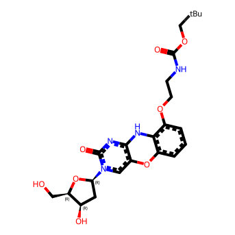 CC(C)(C)COC(=O)NCCOc1cccc2c1Nc1nc(=O)n([C@H]3C[C@@H](O)[C@@H](CO)O3)cc1O2